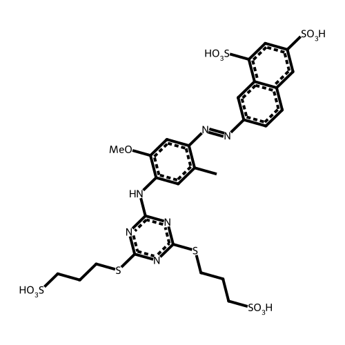 COc1cc(N=Nc2ccc3cc(S(=O)(=O)O)cc(S(=O)(=O)O)c3c2)c(C)cc1Nc1nc(SCCCS(=O)(=O)O)nc(SCCCS(=O)(=O)O)n1